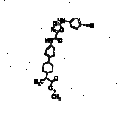 CCOC(=O)C(C)C1CCC(c2ccc(NC(=O)c3nnc(Nc4ccc(C#N)cc4)o3)cc2)CC1